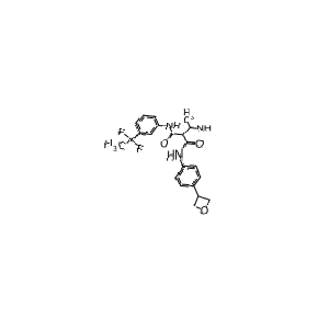 CC(=N)C(C(=O)Nc1ccc(C2COC2)cc1)C(=O)Nc1cccc(C(C)(F)F)c1